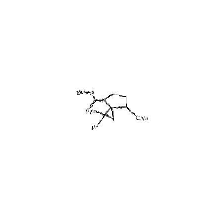 COC1CCN(C(=O)OC(C)(C)C)C12CC2(Br)Br